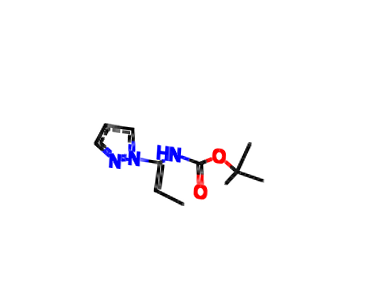 C/C=C(\NC(=O)OC(C)(C)C)n1cccn1